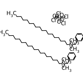 CCCCCCCCCCCCCCCCCC[N+](C)(C)Cc1ccccc1.CCCCCCCCCCCCCCCCCC[N+](C)(C)Cc1ccccc1.[O]=[Mn](=[O])([Cl])([Cl])([O]Cl)[O]Cl